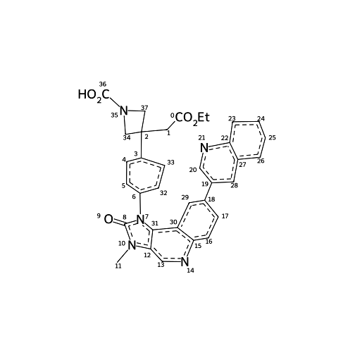 CCOC(=O)CC1(c2ccc(-n3c(=O)n(C)c4cnc5ccc(-c6cnc7ccccc7c6)cc5c43)cc2)CN(C(=O)O)C1